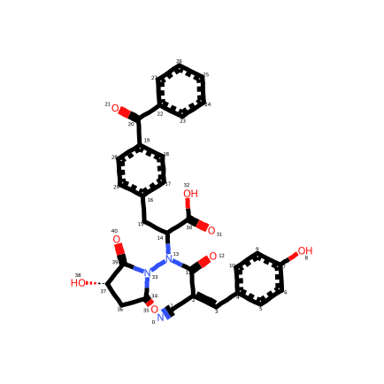 N#CC(=Cc1ccc(O)cc1)C(=O)N(C(Cc1ccc(C(=O)c2ccccc2)cc1)C(=O)O)N1C(=O)C[C@H](O)C1=O